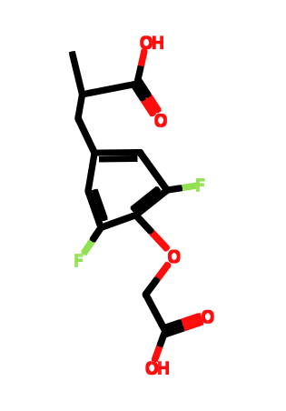 CC(Cc1cc(F)c(OCC(=O)O)c(F)c1)C(=O)O